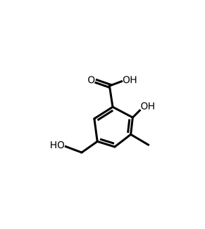 Cc1cc(CO)cc(C(=O)O)c1O